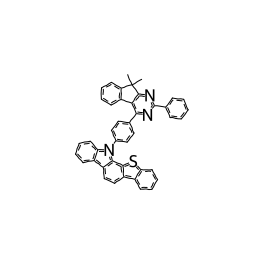 CC1(C)c2ccccc2-c2c(-c3ccc(-n4c5ccccc5c5ccc6c7ccccc7sc6c54)cc3)nc(-c3ccccc3)nc21